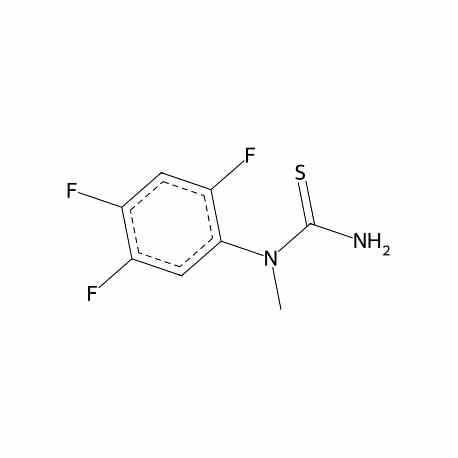 CN(C(N)=S)c1cc(F)c(F)cc1F